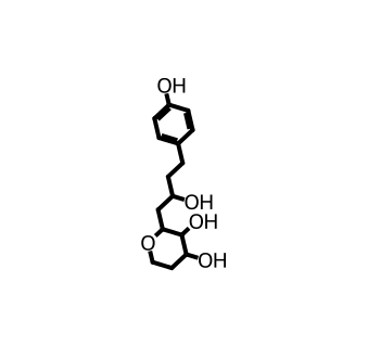 Oc1ccc(CCC(O)CC2OCCC(O)C2O)cc1